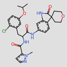 CC(C)Oc1ccc(Cl)c(CC(NC(=O)c2ccnn2C)C(=O)Nc2ccc3c(c2)NC(=O)C32CCOCC2)c1